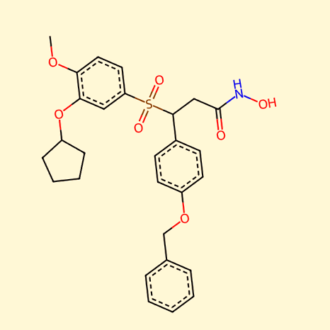 COc1ccc(S(=O)(=O)C(CC(=O)NO)c2ccc(OCc3ccccc3)cc2)cc1OC1CCCC1